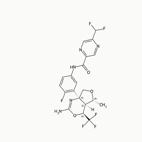 C[C@H]1OC[C@]2(c3cc(NC(=O)c4cnc(C(F)F)cn4)ccc3F)N=C(N)O[C@H](C(F)(F)F)[C@H]12